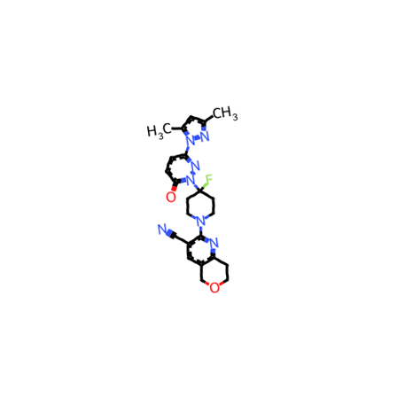 Cc1cc(C)n(-c2ccc(=O)n(C3(F)CCN(c4nc5c(cc4C#N)COCC5)CC3)n2)n1